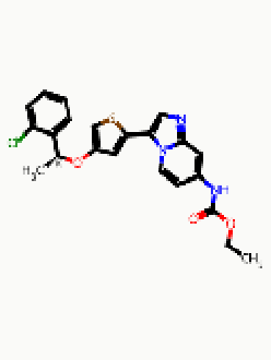 CCOC(=O)Nc1ccn2c(-c3cc(O[C@@H](C)c4ccccc4Cl)cs3)cnc2c1